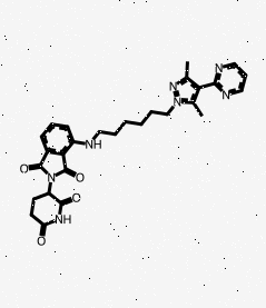 Cc1nn(CCCCCCNc2cccc3c2C(=O)N(C2CCC(=O)NC2=O)C3=O)c(C)c1-c1ncccn1